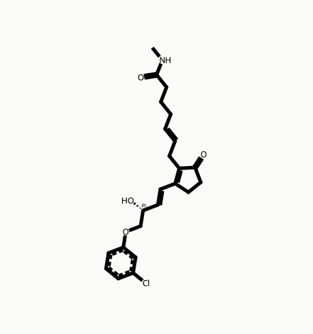 CNC(=O)CCCC=CCC1=C(C=C[C@@H](O)COc2cccc(Cl)c2)CCC1=O